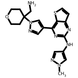 Cn1cc(Nc2nc(-c3cnn(C4(CN)CCOCC4)c3)c3sccc3n2)cn1